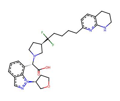 O=C(O)[C@H](c1cccc2cnn([C@H]3CCOC3)c12)N1CC[C@@H](C(F)(F)CCCCc2ccc3c(n2)NCCC3)C1